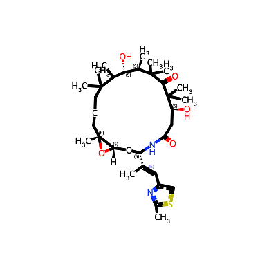 C/C(=C\c1csc(C)n1)[C@@H]1C[C@@H]2O[C@]2(C)CCCC(C)(C)C(C)[C@H](O)[C@@H](C)C(C)(C)C(=O)C(C)(C)[C@@H](O)CC(=O)N1